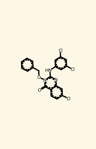 O=c1c2ccc(Cl)cc2nc(Nc2cc(Cl)cc(Cl)c2)n1OCc1ccccc1